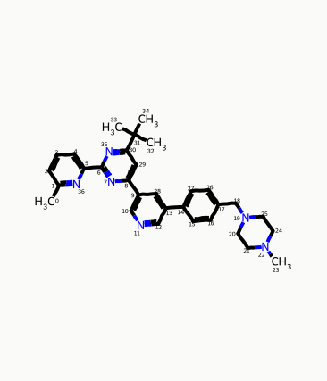 Cc1cccc(-c2nc(-c3cncc(-c4ccc(CN5CCN(C)CC5)cc4)c3)cc(C(C)(C)C)n2)n1